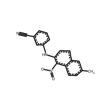 Cc1ccc2c([N+](=O)[O-])c(Nc3cccc(C#N)c3)ccc2c1